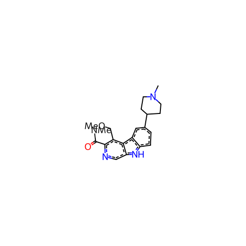 CNC(=O)c1ncc2[nH]c3ccc(C4CCN(C)CC4)cc3c2c1COC